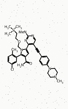 CNc1ncc(C#Cc2ccc(N3CCN(C)CC3)cc2)c(-c2cc(C(N)=O)c(-c3cc(Cl)ccc3C)n2COCC[Si](C)(C)C)n1